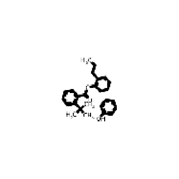 CCCc1ccccc1OC(=O)c1ccccc1C(C)(C)C.Oc1ccccc1